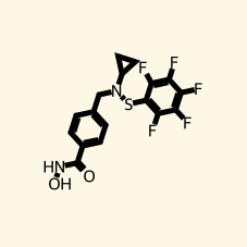 O=C(NO)c1ccc(CN(Sc2c(F)c(F)c(F)c(F)c2F)C2CC2)cc1